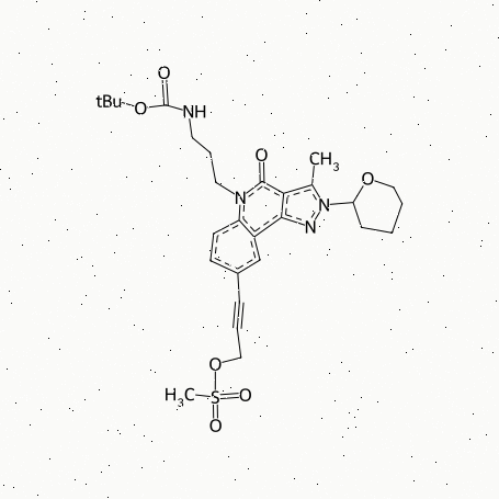 Cc1c2c(=O)n(CCCNC(=O)OC(C)(C)C)c3ccc(C#CCOS(C)(=O)=O)cc3c2nn1C1CCCCO1